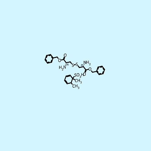 CC1C=CC=CC1(C)S(=O)(=O)O.N[C@@H](CSSC[C@H](N)C(=O)OCc1ccccc1)C(=O)OCc1ccccc1